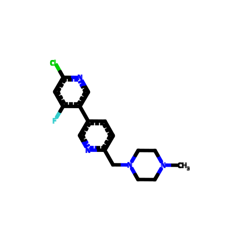 CN1CCN(Cc2ccc(-c3cnc(Cl)cc3F)cn2)CC1